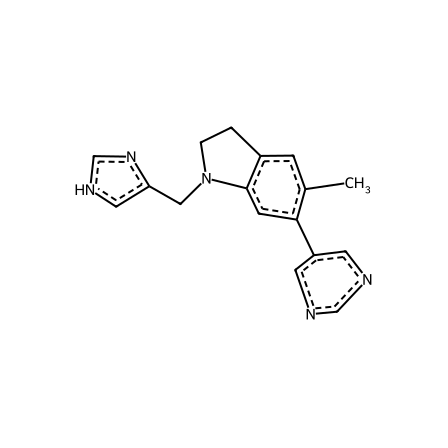 Cc1cc2c(cc1-c1cncnc1)N(Cc1c[nH]cn1)CC2